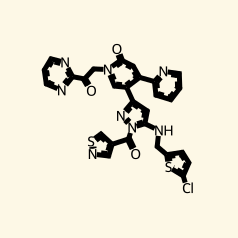 O=C(Cn1cc(-c2cc(NCc3ccc(Cl)s3)n(C(=O)c3cnsc3)n2)c(-c2ccccn2)cc1=O)c1ncccn1